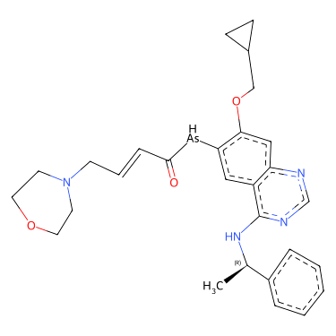 C[C@@H](Nc1ncnc2cc(OCC3CC3)c([AsH]C(=O)C=CCN3CCOCC3)cc12)c1ccccc1